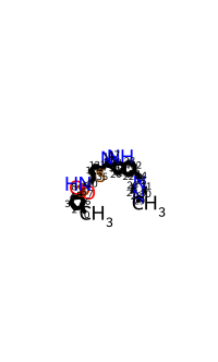 Cc1cccc(S(=O)(=O)NCc2ccc(-c3n[nH]c4c3Cc3cc(CN5CCN(C)CC5)ccc3-4)s2)c1